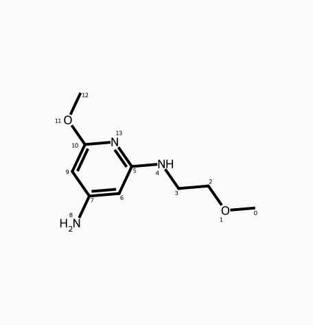 COCCNc1cc(N)cc(OC)n1